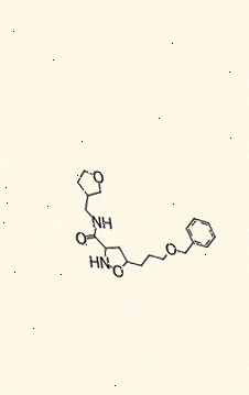 O=C(NCC1CCOC1)C1CC(CCCOCc2ccccc2)ON1